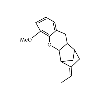 CC=C1CC2CC1C1Oc3c(cccc3OC)CC21